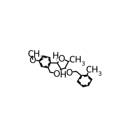 COc1ccc2c(c1)CO[C@@H]1[C@@H](OCc3ccccc3C)[C@@H](C)O[C@H]21